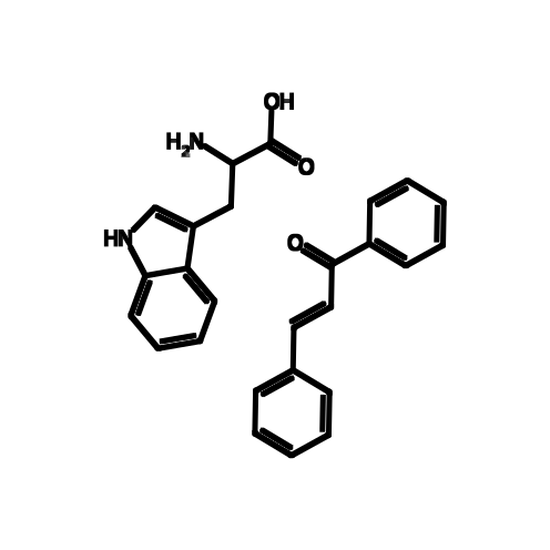 NC(Cc1c[nH]c2ccccc12)C(=O)O.O=C(C=Cc1ccccc1)c1ccccc1